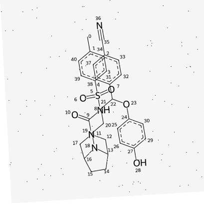 Cc1ccc(S(=O)(=O)NC(=O)N2CC3CCC(C2)N3CCCC(Oc2ccc(O)cc2)c2ccc(C#N)cc2)cc1